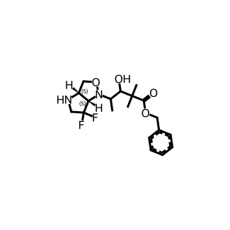 CC(C(O)C(C)(C)C(=O)OCc1ccccc1)N1OC[C@H]2NCC(F)(F)[C@H]21